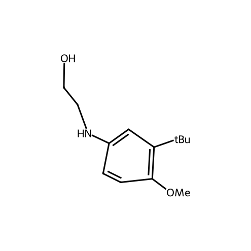 COc1ccc(NCCO)cc1C(C)(C)C